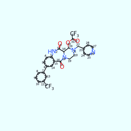 O=C1Nc2ccc(-c3cccc(C(F)(F)F)c3)cc2C(=O)N2CCN(Cc3ccncc3)C(OC(=O)C(F)(F)F)C12